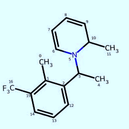 Cc1c(C(C)N2C=CC=CC2C)cccc1C(F)(F)F